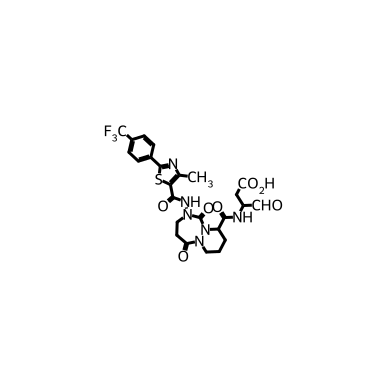 Cc1nc(-c2ccc(C(F)(F)F)cc2)sc1C(=O)NN1CCC(=O)N2CCCC(C(=O)NC(C=O)CC(=O)O)N2C1=O